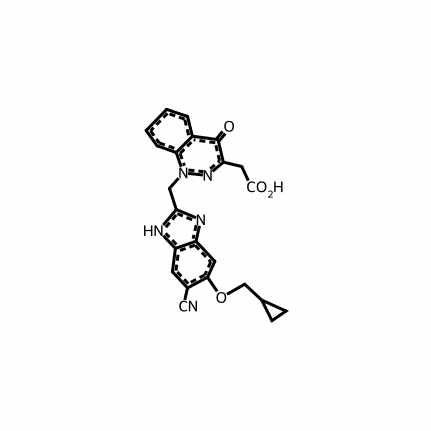 N#Cc1cc2[nH]c(Cn3nc(CC(=O)O)c(=O)c4ccccc43)nc2cc1OCC1CC1